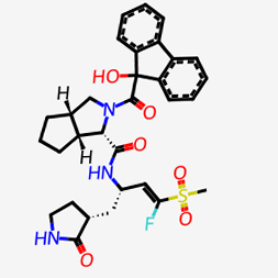 CS(=O)(=O)/C(F)=C/[C@H](C[C@H]1CCNC1=O)NC(=O)[C@@H]1[C@@H]2CCC[C@@H]2CN1C(=O)C1(O)c2ccccc2-c2ccccc21